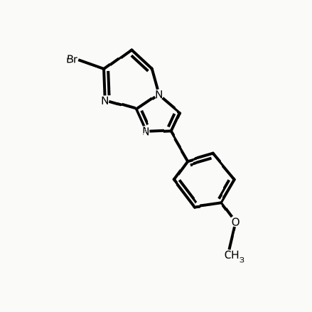 COc1ccc(-c2cn3ccc(Br)nc3n2)cc1